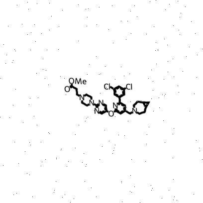 COC(=O)CCN1CCN(c2ncc(Oc3cc(CN4CCC5CC5CC4)cc(-c4cc(Cl)cc(Cl)c4)n3)cn2)CC1